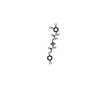 O=C(COc1ccc(Cl)cc1)NC12CC1(CNC(=O)Nc1ccc(Cl)c(Cl)c1)C2